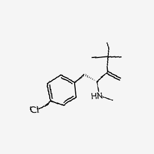 C=C([C@@H](Cc1ccc(Cl)cc1)NC)C(C)(C)C